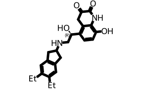 CCc1cc2c(cc1CC)CC(NC[C@H](O)c1ccc(O)c3c1CC(=O)C(=O)N3)C2